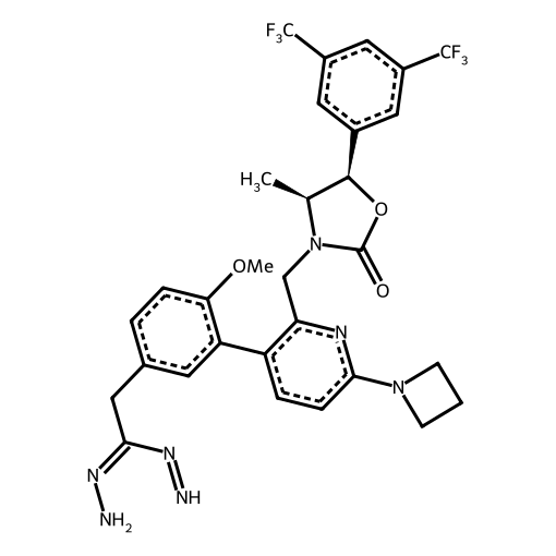 COc1ccc(C/C(N=N)=N/N)cc1-c1ccc(N2CCC2)nc1CN1C(=O)O[C@H](c2cc(C(F)(F)F)cc(C(F)(F)F)c2)[C@@H]1C